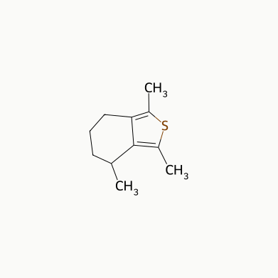 Cc1sc(C)c2c1CCCC2C